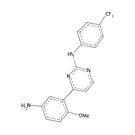 COc1ccc(N)cc1-c1ccnc(Nc2ccc(C(F)(F)F)cc2)n1